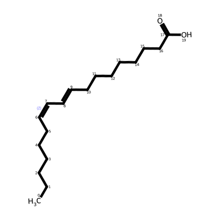 CCCCCC/C=C\C=CCCCCCCCC(=O)O